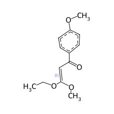 CCO/C(=C/C(=O)c1ccc(OC)cc1)OC